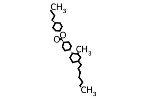 CCCCCCCC1CCC([C@H]2CC[C@H](C(=O)O[C@H]3CC[C@H](CCCC)CC3)CC2)C(C)C1